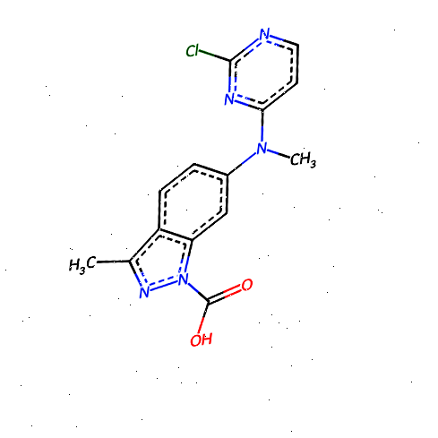 Cc1nn(C(=O)O)c2cc(N(C)c3ccnc(Cl)n3)ccc12